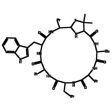 CCC(C)C1NC(=O)C2NC(SC2(C)C)C(C(C)C)NC(=O)C(Cc2c[nH]c3ccccc23)NC(=O)C(C(C)C)NC(=O)C(CC(C)C)NC(=O)C(C(C)C)NC1=O